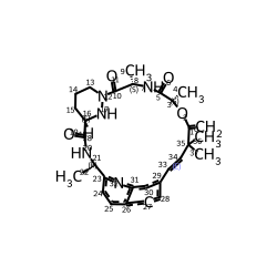 C=C1O[C@@H](C)C(=O)N[C@@H](C)C(=O)N2CCC[C@H](N2)C(=O)N[C@H](C)c2ccc3ccc(cc3n2)/C=C/C1(C)C